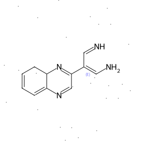 N=C/C(=C\N)C1=NC2CC=CC=C2N=C1